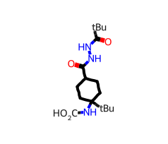 CC(C)(C)C(=O)NNC(=O)C1CCC(NC(=O)O)(C(C)(C)C)CC1